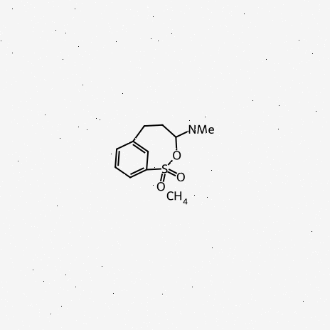 C.CNC1CCc2cccc(c2)S(=O)(=O)O1